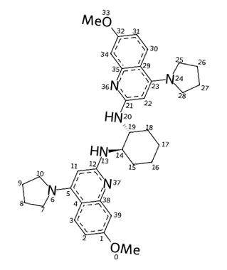 COc1ccc2c(N3CCCC3)cc(N[C@@H]3CCCC[C@H]3Nc3cc(N4CCCC4)c4ccc(OC)cc4n3)nc2c1